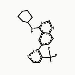 FC(F)(F)c1ccncc1-c1ccc2ncnc(NC3CCCCC3)c2c1